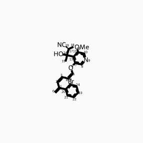 C=C(/C=C\C=C/Oc1cncc(OC)c1C(C)(O)[C@H](C)C#N)c1ccccc1Br